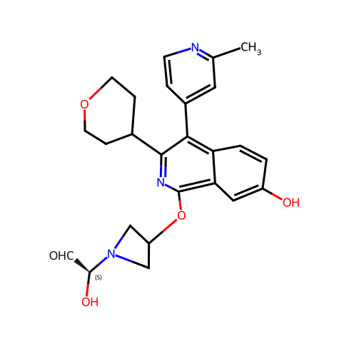 Cc1cc(-c2c(C3CCOCC3)nc(OC3CN([C@@H](O)C=O)C3)c3cc(O)ccc23)ccn1